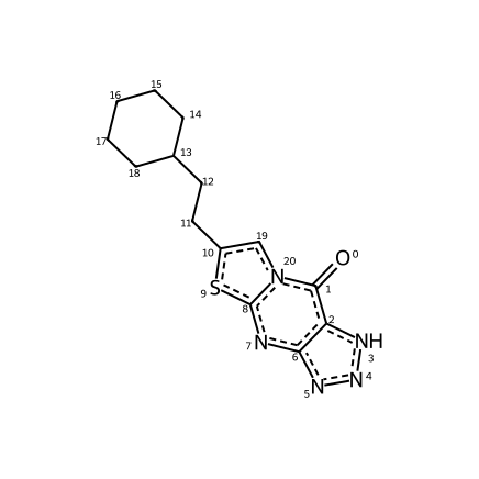 O=c1c2[nH]nnc2nc2sc(CCC3CCCCC3)cn12